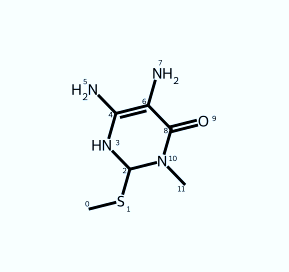 CSC1NC(N)=C(N)C(=O)N1C